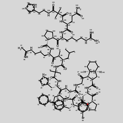 CC(C)C[C@@H](C(=O)NC(C)(C)C(=O)N[C@@H](Cc1c[nH]cn1)C(=O)N[C@@H](CC1CCNCC1)C(=O)NCC(=O)N1[C@H](C(=O)N[C@@H](Cc2ccc(Br)cc2)C(=O)N2CCC[C@H]2C(=O)N[C@H](Cc2ccc(-c3ccccc3)cc2)C(=O)O)C[C@@H]2CCCC[C@@H]21)N(C)C(=O)[C@@H](CCCNC(=N)N)NC(=O)[C@@H]1CCCN1C(=O)[C@H](CCCCNC(=N)N)NC(=O)[C@H](CCC(N)=O)NC(=O)C(C)(C)C(=O)NCCc1cnc[nH]1